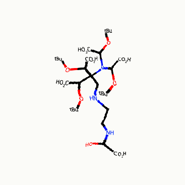 CC(C)(C)OC(C(=O)O)N(C(OC(C)(C)C)C(=O)O)C(CNCCNC(O)C(=O)O)(C(OC(C)(C)C)C(=O)O)C(OC(C)(C)C)C(=O)O